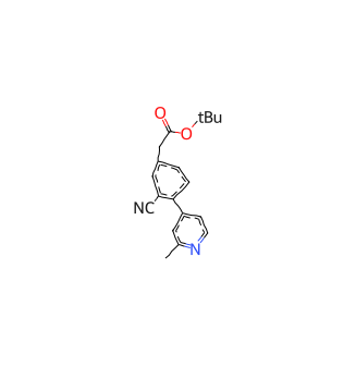 Cc1cc(-c2ccc(CC(=O)OC(C)(C)C)cc2C#N)ccn1